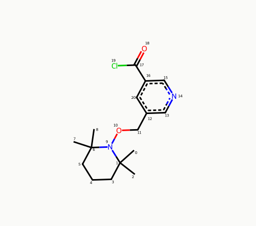 CC1(C)CCCC(C)(C)N1OCc1cncc(C(=O)Cl)c1